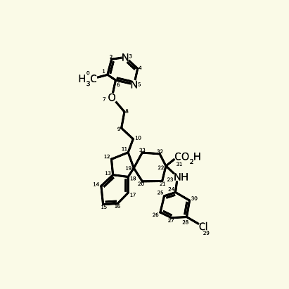 Cc1cncnc1OCCCC1Cc2ccccc2C12CCC(Nc1cccc(Cl)c1)(C(=O)O)CC2